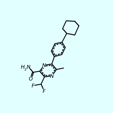 Cc1nc(C(F)F)c(C(N)=O)nc1-c1ccc(C2CCCCC2)cc1